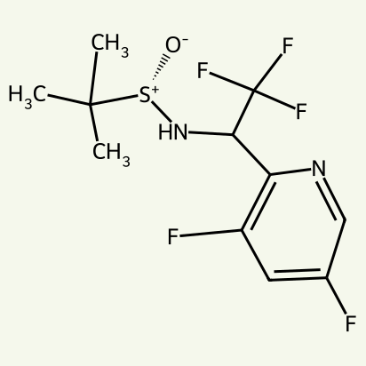 CC(C)(C)[S@+]([O-])NC(c1ncc(F)cc1F)C(F)(F)F